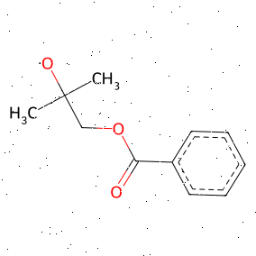 CC(C)([O])COC(=O)c1ccccc1